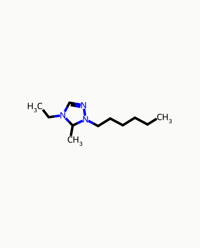 CCCCCCN1N=CN(CC)C1C